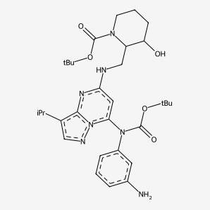 CC(C)c1cnn2c(N(C(=O)OC(C)(C)C)c3cccc(N)c3)cc(NCC3C(O)CCCN3C(=O)OC(C)(C)C)nc12